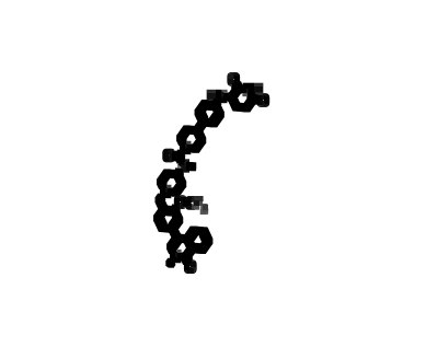 CN(C(=O)N1CCC(c2ccc(NC3CCC(=O)NC3=O)cc2)CC1)C1CCN(Cc2ccc(-c3cn(C)c(=O)c4ccccc34)cc2OC(F)(F)F)CC1